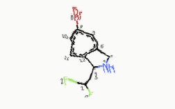 FC(F)C1NCc2cc(Br)ccc21